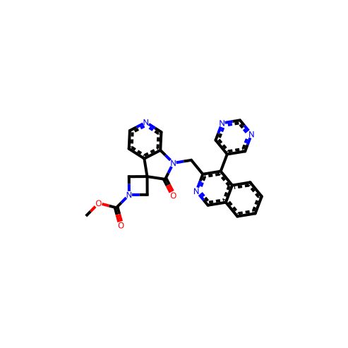 COC(=O)N1CC2(C1)C(=O)N(Cc1ncc3ccccc3c1-c1cncnc1)c1cnccc12